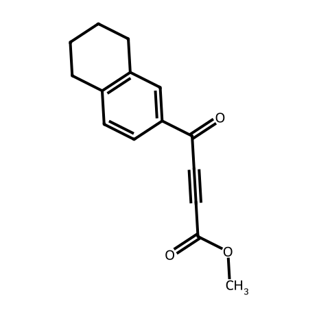 COC(=O)C#CC(=O)c1ccc2c(c1)CCCC2